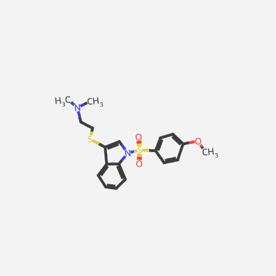 COc1ccc(S(=O)(=O)n2cc(SCCN(C)C)c3ccccc32)cc1